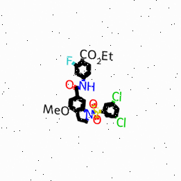 CCOC(=O)c1ccc(NC(=O)c2cc(OC)c3c(c2)N(S(=O)(=O)c2cc(Cl)cc(Cl)c2)CC3)cc1F